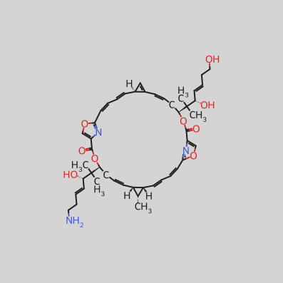 C[C@@H]1[C@@H]2/C=C\C[C@@H](C(C)(C)[C@@H](O)/C=C/CCN)OC(=O)c3coc(n3)/C=C\C=C\[C@H]3C=C3/C=C\C[C@@H](C(C)(C)[C@@H](O)/C=C/CCO)OC(=O)c3coc(n3)/C=C\C=C\[C@H]12